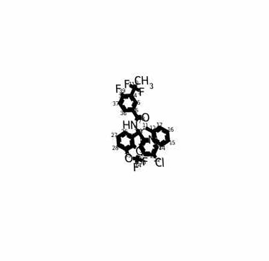 CC(F)(F)c1cc(C(=O)N[C@@](Cc2ccccc2)(c2ccc(Cl)cn2)c2cccc3c2OC(F)(F)O3)ccc1F